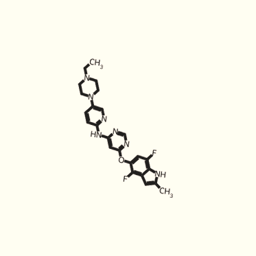 CCN1CCN(c2ccc(Nc3cc(Oc4cc(F)c5[nH]c(C)cc5c4F)ncn3)nc2)CC1